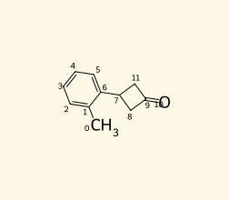 Cc1ccccc1C1CC(=O)C1